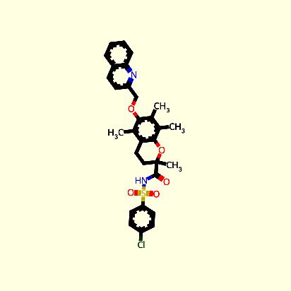 Cc1c(C)c2c(c(C)c1OCc1ccc3ccccc3n1)CCC(C)(C(=O)NS(=O)(=O)c1ccc(Cl)cc1)O2